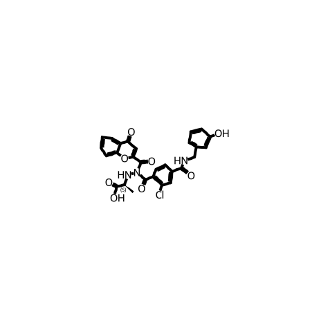 C[C@H](NN(C(=O)c1cc(=O)c2ccccc2o1)C(=O)c1ccc(C(=O)NCc2cccc(O)c2)cc1Cl)C(=O)O